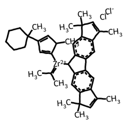 CC1=CC(C)(C)c2cc3c(cc21)-c1cc2c(cc1[CH]3[Zr+2]([C]1=CC(C3(C)CCCCC3)=CC1C)=[C](C)C)C(C)(C)C=C2C.[Cl-].[Cl-]